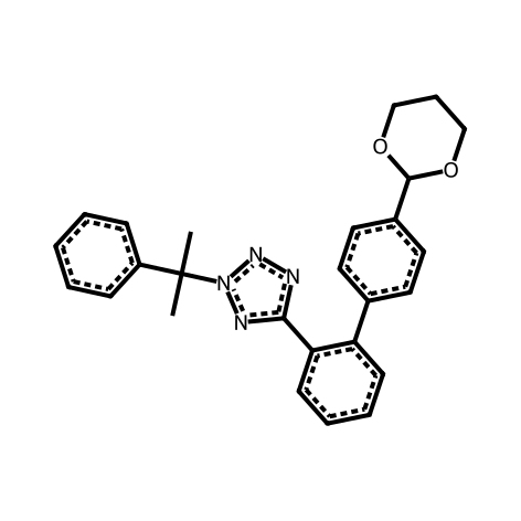 CC(C)(c1ccccc1)n1nnc(-c2ccccc2-c2ccc(C3OCCCO3)cc2)n1